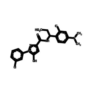 CN(C)c1ccc(C(CC(=O)O)NC(=O)c2cc(O)n(-c3cccc(Cl)c3)n2)c(Cl)c1